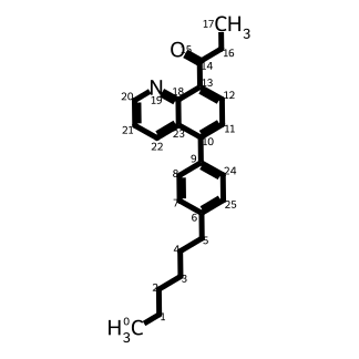 CCCCCCc1ccc(-c2ccc(C(=O)CC)c3ncccc23)cc1